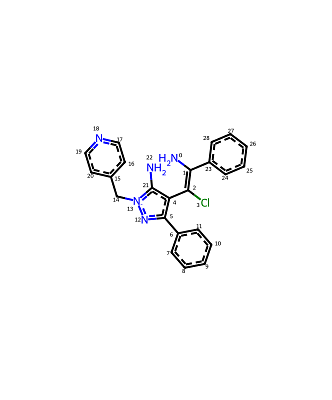 N/C(=C(/Cl)c1c(-c2ccccc2)nn(Cc2ccncc2)c1N)c1ccccc1